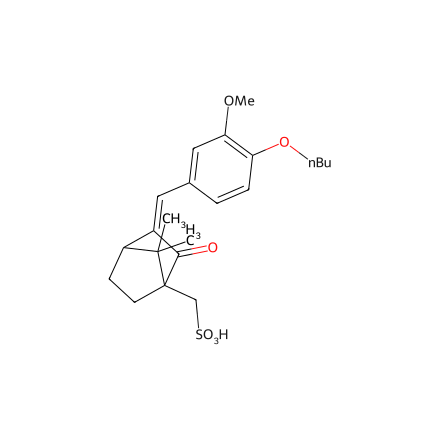 CCCCOc1ccc(C=C2C(=O)C3(CS(=O)(=O)O)CCC2C3(C)C)cc1OC